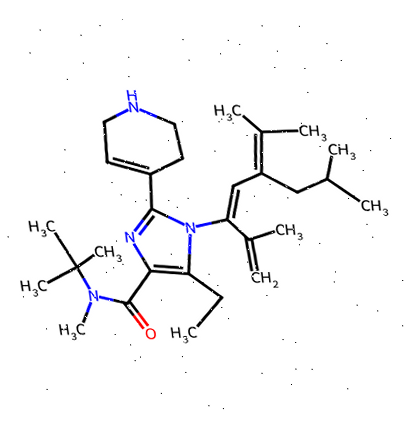 C=C(C)/C(=C\C(CC(C)C)=C(C)C)n1c(C2=CCNCC2)nc(C(=O)N(C)C(C)(C)C)c1CC